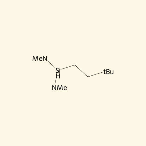 CN[SiH](CCC(C)(C)C)NC